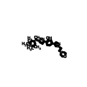 CN(c1ccc(-c2ccc(-c3cnn(CCN4CCOCC4)c3)cc2O)nn1)C1CC(C)(C)NC(C)(C)C1